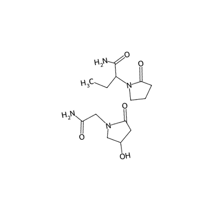 CCC(C(N)=O)N1CCCC1=O.NC(=O)CN1CC(O)CC1=O